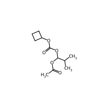 CC(=O)OC(OC(=O)OC1CCC1)C(C)C